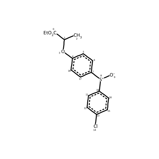 CCOC(=O)C(C)Oc1ccc([S+]([O-])c2ccc(Cl)cc2)cc1